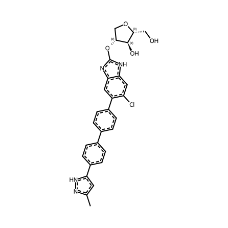 Cc1cc(-c2ccc(-c3ccc(-c4cc5nc(O[C@@H]6CO[C@H](CO)[C@H]6O)[nH]c5cc4Cl)cc3)cc2)[nH]n1